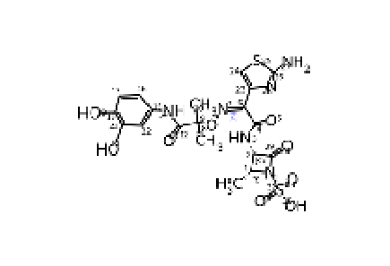 C[C@@H]1[C@H](NC(=O)/C(=N\OC(C)(C)C(=O)Nc2ccc(O)c(O)c2)c2csc(N)n2)C(=O)N1S(=O)(=O)O